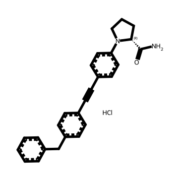 Cl.NC(=O)[C@H]1CCCN1c1ccc(C#Cc2ccc(Cc3ccccc3)cc2)cc1